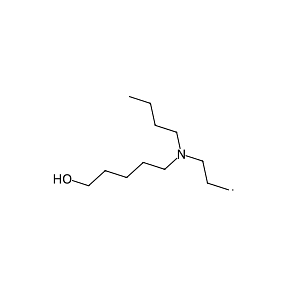 [CH2]CCN(CCCC)CCCCCO